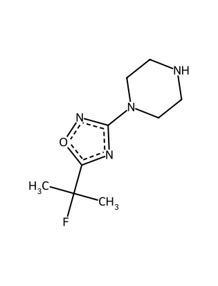 CC(C)(F)c1nc(N2CCNCC2)no1